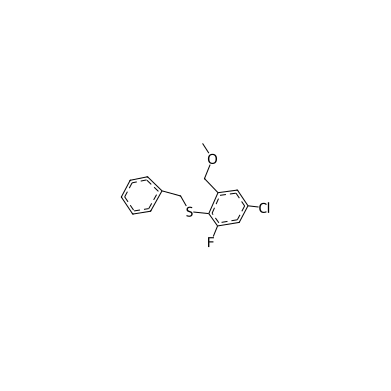 COCc1cc(Cl)cc(F)c1SCc1ccccc1